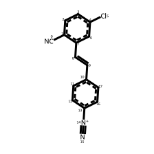 N#Cc1ccc(Cl)cc1C=Cc1ccc([N+]#N)cc1